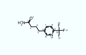 NC(=O)CC[CH]c1ccc(C(F)(F)F)nc1